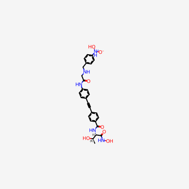 C[C@@H](O)[C@H](NC(=O)c1ccc(C#Cc2ccc(NC(=O)CNCc3ccc([NH+]([O-])O)cc3)cc2)cc1)C(=O)NO